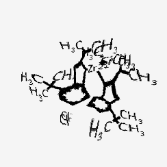 CC(C)C1=Cc2c(cccc2C(C)(C)C)[CH]1[Zr+2]([CH]1C(C(C)C)=Cc2c1cccc2C(C)(C)C)=[Si](C)C.[Cl-].[Cl-]